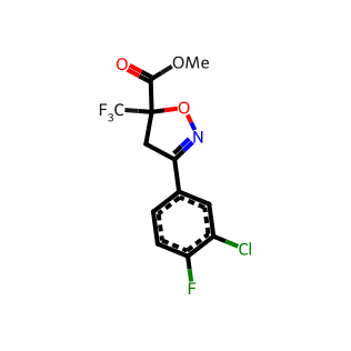 COC(=O)C1(C(F)(F)F)CC(c2ccc(F)c(Cl)c2)=NO1